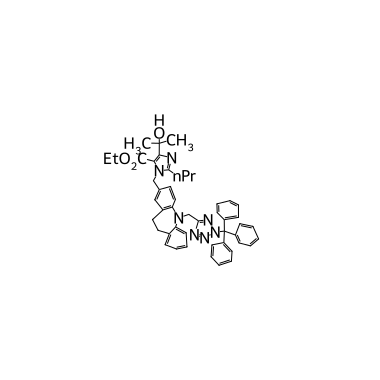 CCCc1nc(C(C)(C)O)c(C(=O)OCC)n1Cc1ccc2c(c1)CCc1ccccc1N2Cc1nnn(C(c2ccccc2)(c2ccccc2)c2ccccc2)n1